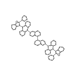 c1ccc(-c2oc3ccccc3c2-c2c3ccccc3c(-c3ccc4c(-c5cccc6cc(-c7c8ccccc8c(-c8c(-c9ccccc9)oc9ccccc89)c8ccccc78)ccc56)cccc4c3)c3ccccc23)cc1